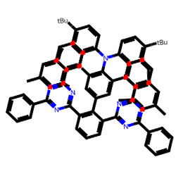 Cc1cc(C)c(B2c3cc(C(C)(C)C)ccc3N3c4ccc(C(C)(C)C)cc4B(c4c(C)cc(C)cc4C)c4cc(-c5c(-c6nc(-c7ccccc7)nc(-c7ccccc7)n6)cccc5-c5nc(-c6ccccc6)nc(-c6ccccc6)n5)cc2c43)c(C)c1